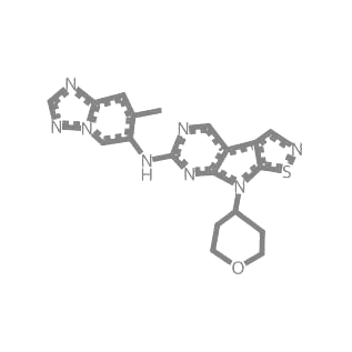 Cc1cc2ncnn2cc1Nc1ncc2c3cnsc3n(C3CCOCC3)c2n1